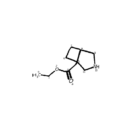 CCOC(=O)C12CCC1CNC2